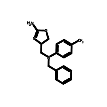 NC1=NC(CN(Cc2ccccc2)c2ccc(C(F)(F)F)cc2)CO1